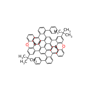 CC(C)(C)c1cc2c3c(c1)-c1cc(-c4c(-c5ccccc5)cccc4-c4ccccc4)c4cc5c6c(cc(-c7c(-c8ccccc8)cccc7-c7ccccc7)c7cc(c1c4c76)B3c1ccccc1O2)-c1cc(C(C)(C)C)cc2c1B5c1ccccc1O2